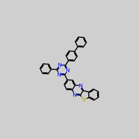 c1ccc(-c2ccc(-c3nc(-c4ccccc4)nc(-c4ccc5nc6sc7ccccc7c6nc5c4)n3)cc2)cc1